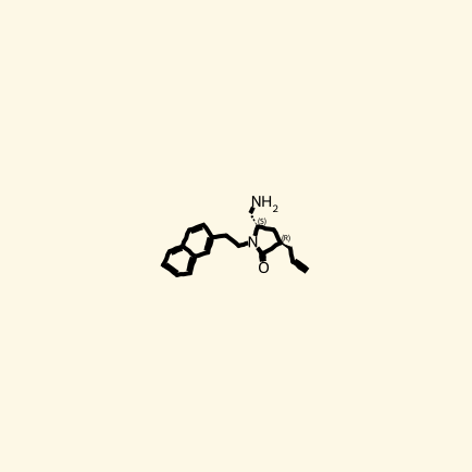 C=CC[C@@H]1C[C@@H](CN)N(CCc2ccc3ccccc3c2)C1=O